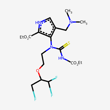 CCOC(=O)NC(=S)N(CCOC(CF)C(F)F)c1c(CN(C)C)c[nH]c1C(=O)OCC